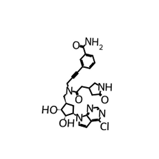 NC(=O)c1cccc(C#CCN(C[C@H]2C[C@@H](n3ccc4c(Cl)ncnc43)[C@H](O)[C@@H]2O)C(=O)CC2CNC(=O)C2)c1